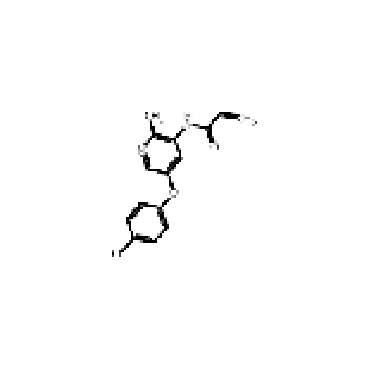 C=CC(=O)Nc1cc(Oc2ccc(Cl)cc2)cnc1C